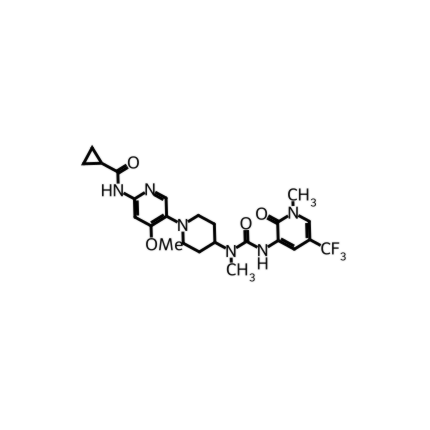 COc1cc(NC(=O)C2CC2)ncc1N1CCC(N(C)C(=O)Nc2cc(C(F)(F)F)cn(C)c2=O)CC1